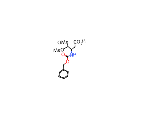 COC(OC)[C@@H](CC(=O)O)NC(=O)OCc1ccccc1